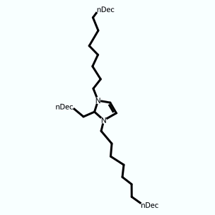 CCCCCCCCCCCCCCCCCN1C=CN(CCCCCCCCCCCCCCCCC)C1CCCCCCCCCCC